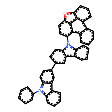 c1ccc(-n2c3ccccc3c3cc(-c4ccc5c(c4)c4ccccc4n5-c4ccc5oc6cccc7c8ccccc8c4c5c67)ccc32)cc1